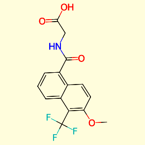 COc1ccc2c(C(=O)NCC(=O)O)cccc2c1C(F)(F)F